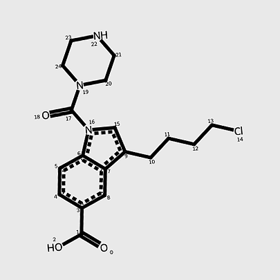 O=C(O)c1ccc2c(c1)c(CCCCCl)cn2C(=O)N1CCNCC1